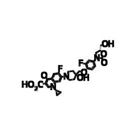 O=C(O)c1cn(C2CC2)c2cc(N3CCC(O)(COc4ccc(N5C[C@H](CO)OC5=O)cc4F)CC3)c(F)cc2c1=O